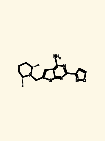 C[C@@H]1CCC[C@H](C)N1Cc1cc2c(N)nc(-c3ccon3)nc2s1